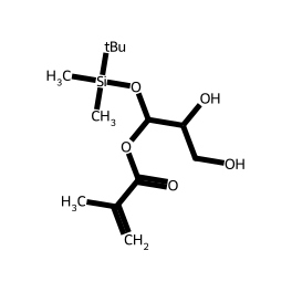 C=C(C)C(=O)OC(O[Si](C)(C)C(C)(C)C)C(O)CO